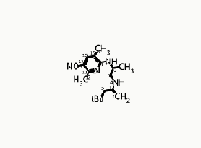 C=C(CC(C)(C)C)NCC(C)Nc1nc(C)c(C#N)cc1C